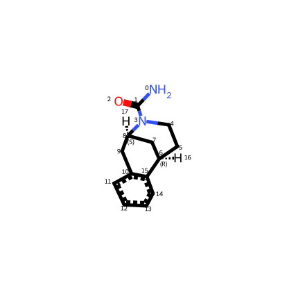 NC(=O)N1CC[C@@H]2C[C@H]1Cc1ccccc12